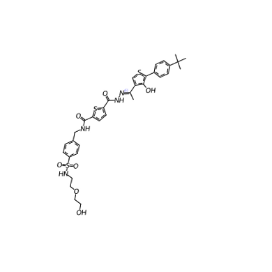 C/C(=N\NC(=O)c1ccc(C(=O)NCc2ccc(S(=O)(=O)NCCOCCO)cc2)s1)c1csc(-c2ccc(C(C)(C)C)cc2)c1O